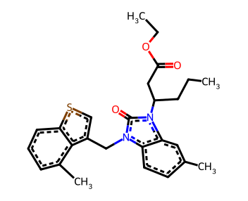 CCCC(CC(=O)OCC)n1c(=O)n(Cc2csc3cccc(C)c23)c2ccc(C)cc21